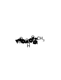 CCCN(C(=O)c1ccc(NC(=O)Cc2ccc(S(=O)(=O)CC3CC3)cc2)cc1)c1cccnc1